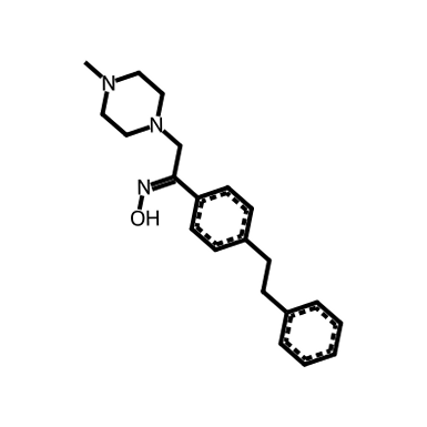 CN1CCN(CC(=NO)c2ccc(CCc3ccccc3)cc2)CC1